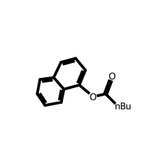 [CH2]CCCC(=O)Oc1cccc2ccccc12